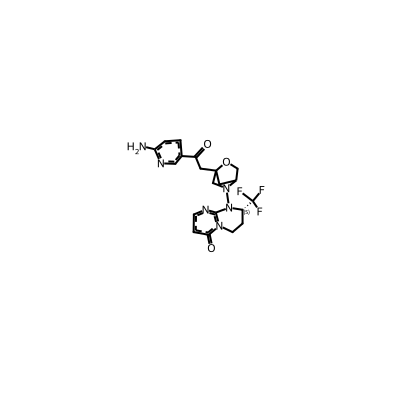 Nc1ccc(C(=O)CC23CC(CO2)N(N2c4nccc(=O)n4CC[C@H]2C(F)(F)F)C3)cn1